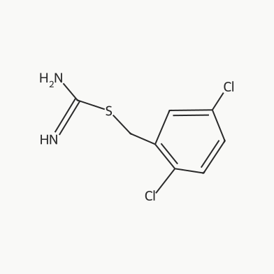 N=C(N)SCc1cc(Cl)ccc1Cl